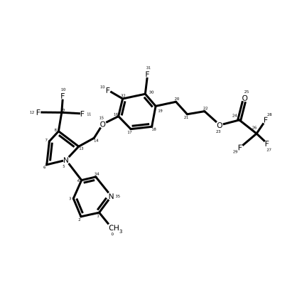 Cc1ccc(-n2ccc(C(F)(F)F)c2COc2ccc(CCCOC(=O)C(F)(F)F)c(F)c2F)cn1